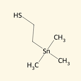 [CH3][Sn]([CH3])([CH3])[CH2]CS